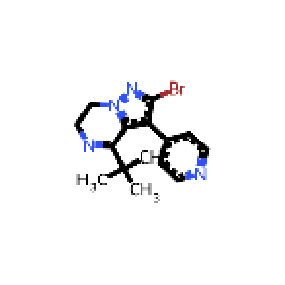 CC(C)(C)C1=NCCn2nc(Br)c(-c3ccncc3)c21